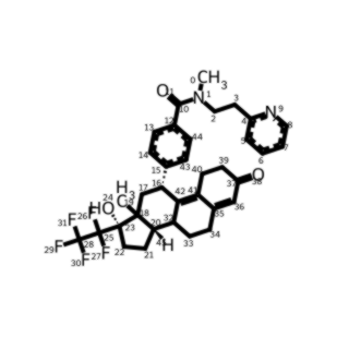 CN(CCc1ccccn1)C(=O)c1ccc([C@H]2CC3(C)[C@@H](CC[C@@]3(O)C(F)(F)C(F)(F)F)C3CCC4=CC(=O)CCC4=C32)cc1